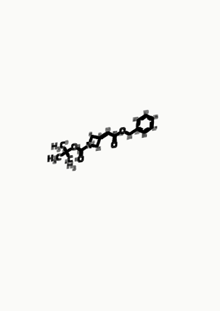 CC(C)(C)OC(=O)N1CC(=CC(=O)OCc2ccccc2)C1